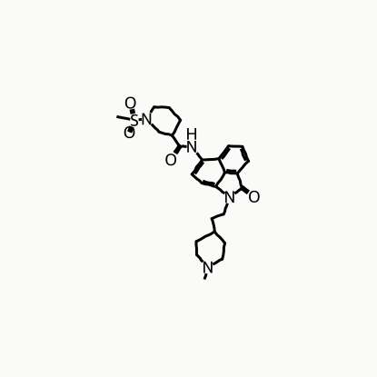 CN1CCC(CCN2C(=O)c3cccc4c(NC(=O)C5CCCN(S(C)(=O)=O)C5)ccc2c34)CC1